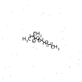 C=C(CC)C(=O)OOCCOCCC